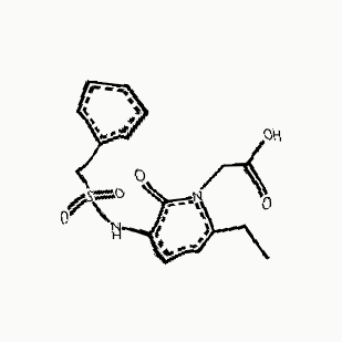 CCc1ccc(NS(=O)(=O)Cc2ccccc2)c(=O)n1CC(=O)O